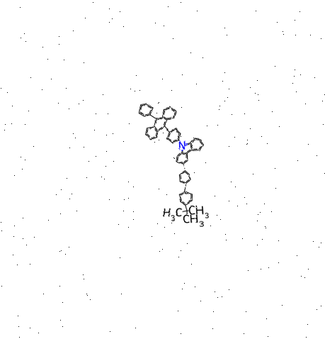 CC(C)(C)c1ccc(-c2ccc(-c3ccc4c(c3)c3ccccc3n4-c3ccc(-c4c5ccccc5c(-c5ccccc5)c5ccccc45)cc3)cc2)cc1